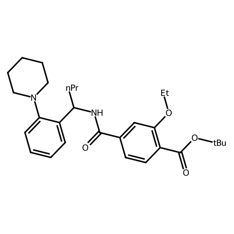 CCCC(NC(=O)c1ccc(C(=O)OC(C)(C)C)c(OCC)c1)c1ccccc1N1CCCCC1